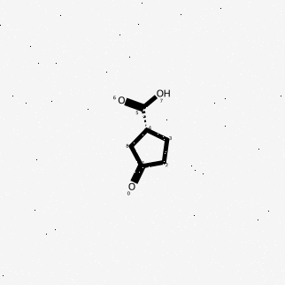 O=C1CC[C@@H](C(=O)O)C1